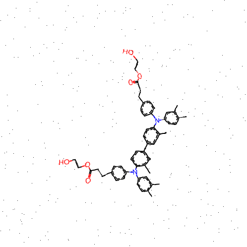 Cc1ccc(N(c2ccc(CCC(=O)OCCO)cc2)c2ccc(-c3ccc(N(c4ccc(CCC(=O)OCCO)cc4)c4ccc(C)c(C)c4)c(C)c3)cc2C)cc1C